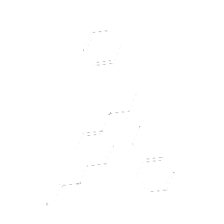 Cc1ccc(CCC(CS(=O)(=O)c2ccc(C)cc2)C(=O)c2ccc(C(=O)NC(C)C)cc2)cc1